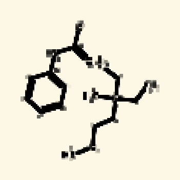 CC[N+](C)(CC)CCOC.O=C([O-])Nc1ccccc1